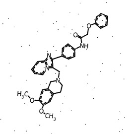 COc1cc2c(cc1OC)CN(Cc1c(-c3ccc(NC(=O)COc4ccccc4)cc3)nc3ccccn13)CC2